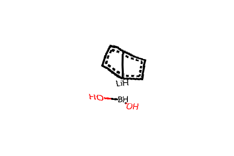 OBO.[LiH].c1cc2ccc1-2